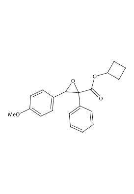 COc1ccc(C2OC2(C(=O)OC2CCC2)c2ccccc2)cc1